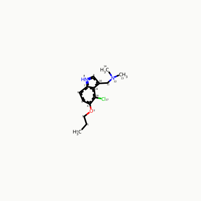 CCCOc1ccc2[nH]cc(CN(C)C)c2c1Cl